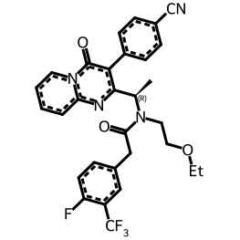 CCOCCN(C(=O)Cc1ccc(F)c(C(F)(F)F)c1)[C@H](C)c1nc2ccccn2c(=O)c1-c1ccc(C#N)cc1